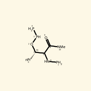 CCC[C@H](OPP)C(NP)C(=O)NC